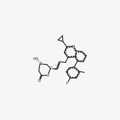 Cc1cc(F)ccc1-c1cccc2nc(C3CC3)cc(C/C=C/[C@@H]3C[C@@H](O)CC(=O)O3)c12